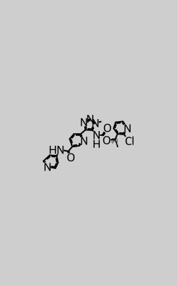 C[C@@H](OC(=O)Nc1c(-c2ccc(C(=O)Nc3ccncc3)cn2)nnn1C)c1cccnc1Cl